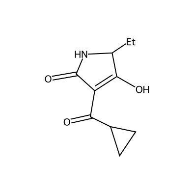 CCC1NC(=O)C(C(=O)C2CC2)=C1O